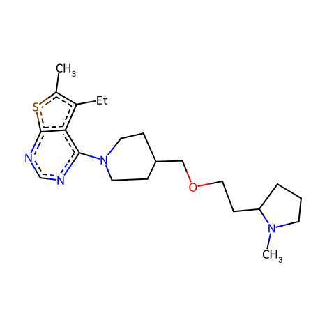 CCc1c(C)sc2ncnc(N3CCC(COCCC4CCCN4C)CC3)c12